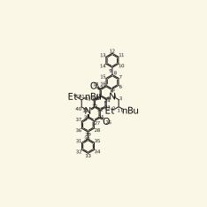 CCCCC(CC)Cn1c2ccc(-c3ccccc3)cc2c(=O)c2cc3c(cc21)c(=O)c1cc(-c2ccccc2)ccc1n3CC(CC)CCCC